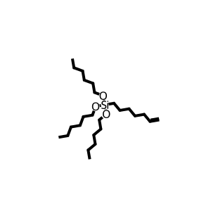 C=CCCCCC[Si](OCCCCCC)(OCCCCCC)OCCCCCC